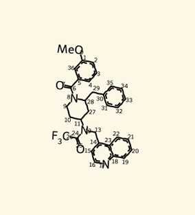 COc1cccc(C(=O)N2CCC(N(Cc3ccnc4ccccc34)C(=O)C(F)(F)F)CC2Cc2ccccc2)c1